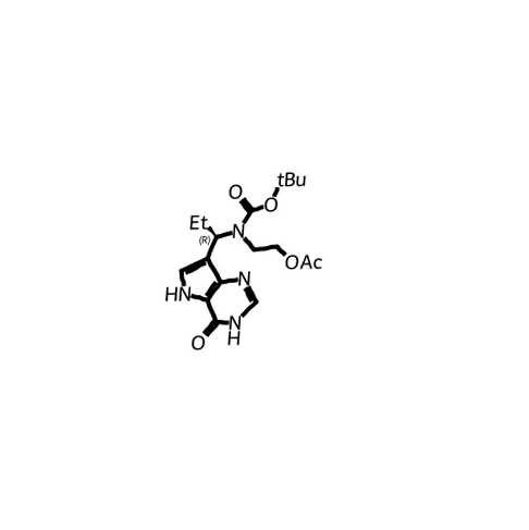 CC[C@H](c1c[nH]c2c(=O)[nH]cnc12)N(CCOC(C)=O)C(=O)OC(C)(C)C